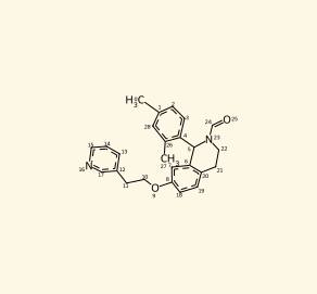 Cc1ccc(C2c3cc(OCCc4cccnc4)ccc3CCN2C=O)c(C)c1